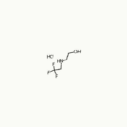 Cl.OCCNCC(F)(F)F